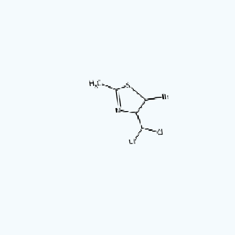 CC1=NC(C(Cl)Cl)C(Br)S1